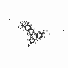 COC(=O)c1ccc(CN(C(=O)N2CC[C@H](F)C2)c2cccc(C(F)(F)F)n2)cc1